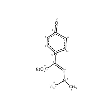 CCOC(=O)C(=CN(C)C)n1ccc(=O)cc1